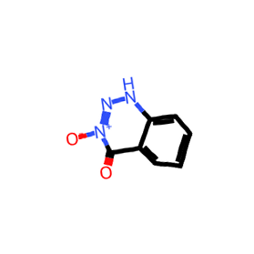 O=c1c2ccccc2[nH]n[n+]1[O-]